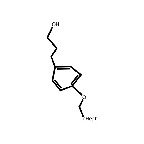 CCCCCCCCOc1ccc(CCCO)cc1